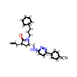 C=CC[C@@H]1C[C@@H](CNc2ccc(-c3ccc(C#N)cc3)nn2)N(CCCc2ccccc2)C1=O